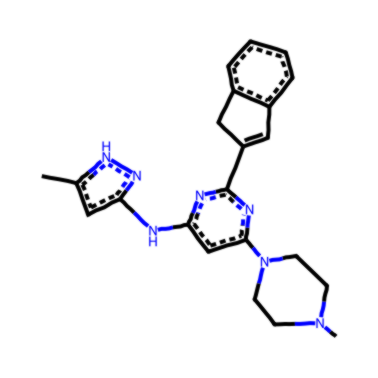 Cc1cc(Nc2cc(N3CCN(C)CC3)nc(C3=Cc4ccccc4C3)n2)n[nH]1